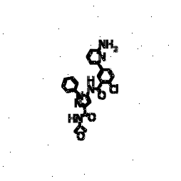 Nc1cccc(-c2ccc(Cl)c(C(=O)Nc3cc(C(=O)NC4COC4)nn3-c3ccccc3)c2)n1